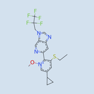 CCSc1cc(C2CC2)c[n+](OC)c1-c1cc2ncn(CC(F)(F)C(F)(F)F)c2cn1